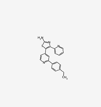 CCc1ccc(-c2cc(-c3sc(N)nc3-c3ccccn3)ccn2)cc1